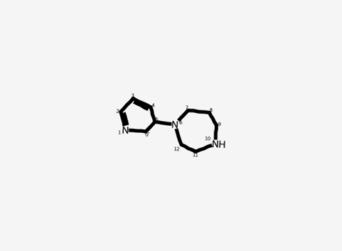 [C]1N=CC=CC1N1CCCNCC1